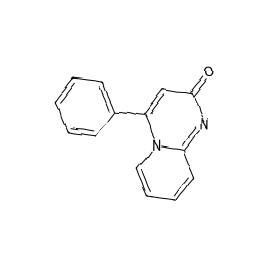 O=c1cc(-c2ccccc2)n2ccccc2n1